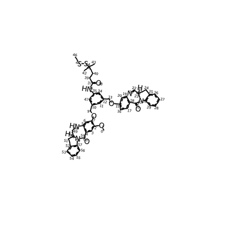 COc1cc2c(cc1OCc1cc(COc3ccc4c(c3)N=C[C@@H]3Cc5ccccc5N3C4=O)cc(NC(=O)CCC(C)(C)SSC)c1)NC[C@@H]1Cc3ccccc3N1C2=O